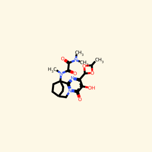 CC1OC(c2nc3n(c(=O)c2O)CC2CCC3(N(C)C(=O)C(=O)N(C)C)CC2)O1